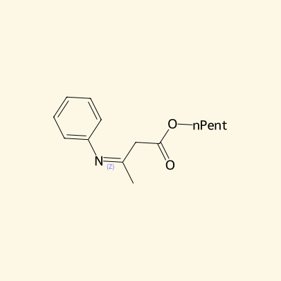 CCCCCOC(=O)C/C(C)=N\c1ccccc1